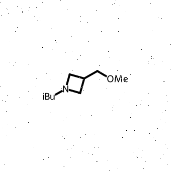 CCC(C)N1CC(COC)C1